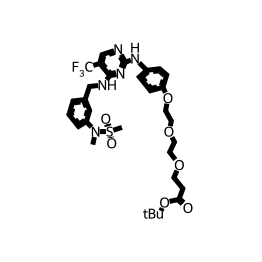 CN(c1cccc(CNc2nc(Nc3ccc(OCCOCCOCCC(=O)OC(C)(C)C)cc3)ncc2C(F)(F)F)c1)S(C)(=O)=O